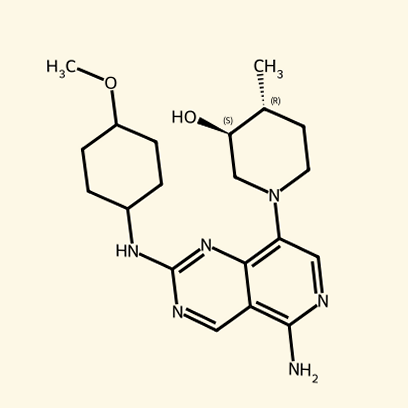 COC1CCC(Nc2ncc3c(N)ncc(N4CC[C@@H](C)[C@H](O)C4)c3n2)CC1